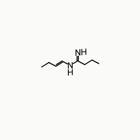 CCC=CNC(=N)CCC